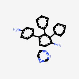 Nc1ccc(-c2ccc(N)c(-c3ccccc3)c2-c2ccccc2)cc1.c1cnncn1